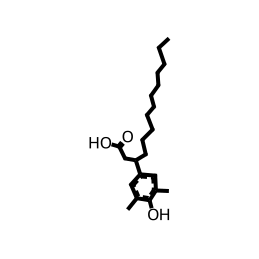 CCCCCCCCCCCC(CC(=O)O)c1cc(C)c(O)c(C)c1